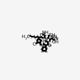 CCCCCCCCC[C@@H](CC(N)=O)N(CCC)C(=O)[C@H](CCC(N)C(=O)O)C(=O)c1cn(Cc2ccccc2Cl)c2ccccc12